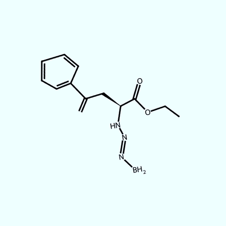 BN=NN[C@@H](CC(=C)c1ccccc1)C(=O)OCC